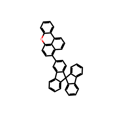 c1ccc2c(c1)Oc1ccc(-c3ccc4c(c3)-c3ccccc3C43c4ccccc4-c4ccccc43)c3cccc-2c13